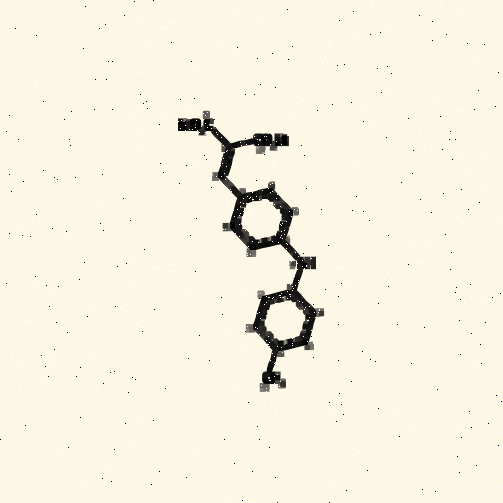 CCOC(=O)C(=Cc1ccc(Nc2ccc(C)cc2)cc1)C(=O)OCC